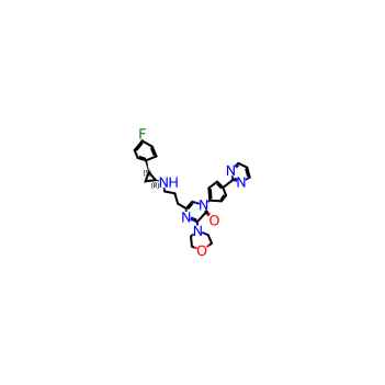 O=c1c(N2CCOCC2)nc(CCCN[C@@H]2C[C@H]2c2ccc(F)cc2)cn1-c1ccc(-c2ncccn2)cc1